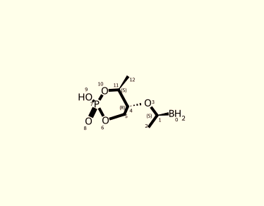 B[C@@H](C)O[C@@H]1COP(=O)(O)O[C@H]1C